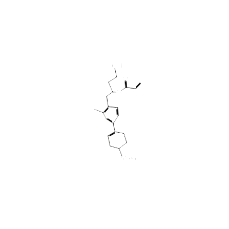 C=CC(=O)OC(CCO)Cc1ccc(C2=CCC(CCCCC)CC2)cc1C